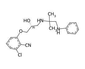 CC(C)(CNc1ccccc1)NC[C@@H](O)COc1cccc(Cl)c1C#N